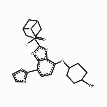 O=C(O)N1C2CC1CN(c1nc3c(OC4CCC(O)CC4)ccc(-c4nccs4)c3o1)C2